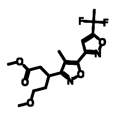 COCCC(CC(=O)OC)c1noc(-c2cc(C(C)(F)F)on2)c1C